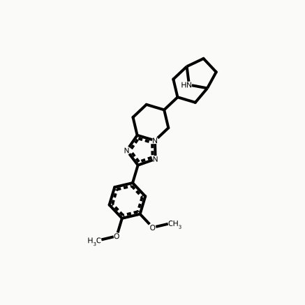 COc1ccc(-c2nc3n(n2)CC(C2CC4CCC(C2)N4)CC3)cc1OC